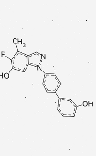 Cc1c(F)c(O)cc2c1cnn2-c1ccc(-c2cccc(O)c2)cc1